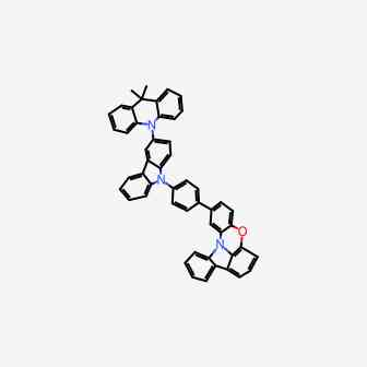 CC1(C)c2ccccc2N(c2ccc3c(c2)c2ccccc2n3-c2ccc(-c3ccc4c(c3)-n3c5ccccc5c5cccc(c53)O4)cc2)c2ccccc21